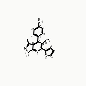 Cc1n[nH]c2nc(-c3ccco3)c(C#N)c(-c3ccc(O)cc3)c12